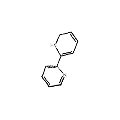 [C]1=C(c2ccccn2)NCC=C1